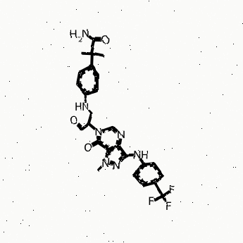 Cn1nc(Nc2ccc(C(F)(F)F)cc2)c2ncn(C(C=O)CNc3ccc(C(C)(C)C(N)=O)cc3)c(=O)c21